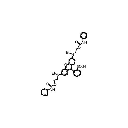 CCN(CCOC(=O)Nc1ccccc1)c1ccc2c(-c3ccccc3S(=O)(=O)O)c3cc/c(=[N+](/CC)CCOC(=O)Nc4ccccc4)cc-3oc2c1